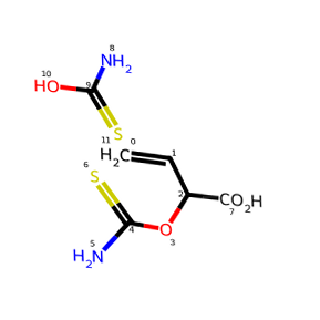 C=CC(OC(N)=S)C(=O)O.NC(O)=S